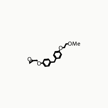 COCCOc1ccc(Cc2ccc(OCC3CO3)cc2)cc1